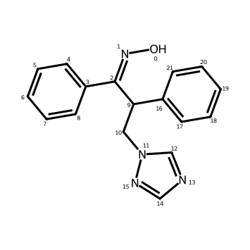 ON=C(c1ccccc1)C(Cn1cncn1)c1ccccc1